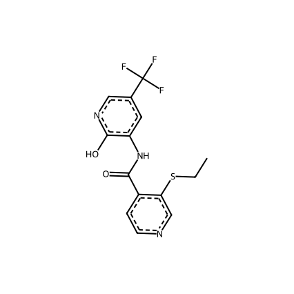 CCSc1cnccc1C(=O)Nc1cc(C(F)(F)F)cnc1O